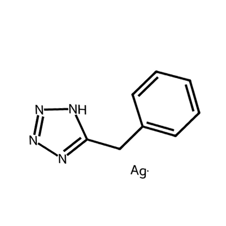 [Ag].c1ccc(Cc2nnn[nH]2)cc1